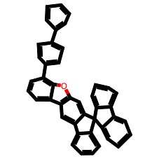 c1ccc(-c2ccc(-c3cccc4c3oc3cc5c(cc34)-c3ccccc3C53c4ccccc4-c4ccccc43)cc2)cc1